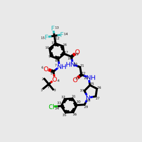 CC(C)(C)OC(=O)Nc1ccc(C(F)(F)F)cc1C(=O)NCC(=O)NC1CCN(Cc2ccc(Cl)cc2)C1